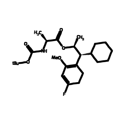 COC1=C([C@@H](C2CCCCC2)[C@H](C)OC(=O)[C@H](C)NC(=O)OC(C)(C)C)CCC(F)=C1